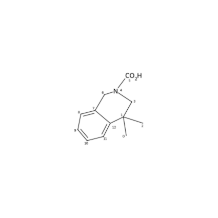 CC1(C)CN(C(=O)O)Cc2ccccc21